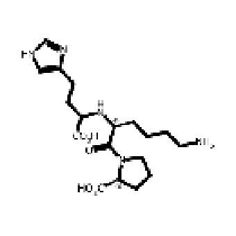 NCCCC[C@H](NC(CCc1c[nH]cn1)C(=O)O)C(=O)N1CCC[C@H]1C(=O)O